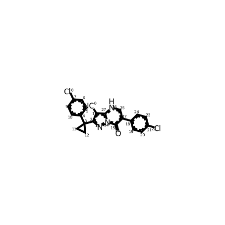 N#Cc1c(C2(c3ccc(Cl)cc3)CC2)nn2c(=O)c(-c3ccc(Cl)cc3)c[nH]c12